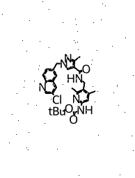 Cc1cc(NC(=O)OC(C)(C)C)nc(C)c1CNC(=O)c1cn(Cc2ccc3ncc(Cl)cc3c2)nc1C